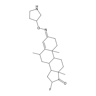 CC1CC2C3CC(F)C(=O)C3(C)CCC2C2(C)CC/C(=N/OC3CCNC3)C=C12